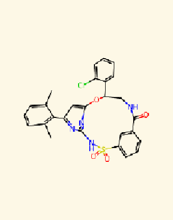 Cc1cccc(C)c1-c1cc2nc(n1)NS(=O)(=O)c1cccc(c1)C(=O)NCC(c1ccccc1Cl)O2